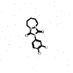 O=c1n(-c2ccc(Cl)c(Cl)c2)c(=O)n2n1CCCCC2